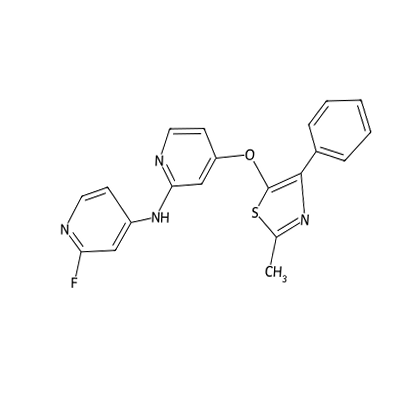 Cc1nc(-c2ccccc2)c(Oc2ccnc(Nc3ccnc(F)c3)c2)s1